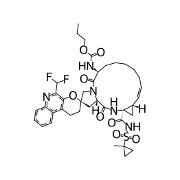 CCCOC(=O)N[C@H]1CCCCC/C=C\[C@@H]2C[C@@]2(C(=O)NS(=O)(=O)C2(C)CC2)NC(=O)[C@@H]2C[C@]3(CCc4c(c(C(F)F)nc5ccccc45)O3)CN2C1=O